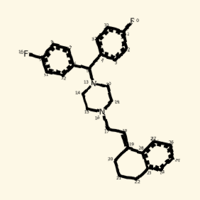 Fc1ccc(C(c2ccc(F)cc2)N2CCN(C/C=C3\CCCc4ccccc43)CC2)cc1